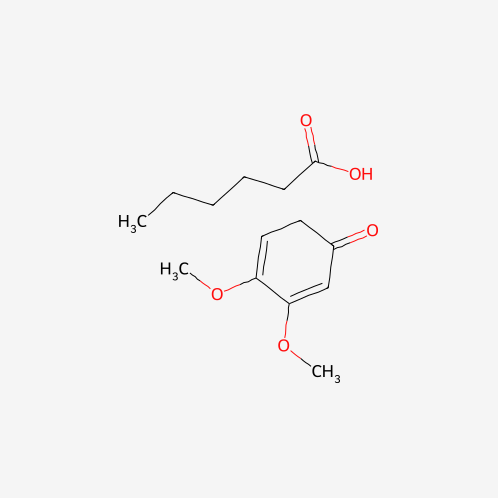 CCCCCC(=O)O.COC1=CCC(=O)C=C1OC